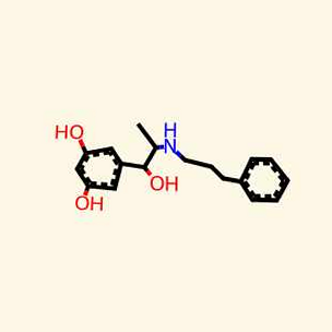 CC(NCCCc1ccccc1)C(O)c1cc(O)cc(O)c1